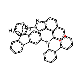 CC1(C)c2ccccc2-c2cc(N(c3ccccc3-c3ccccc3)c3cccc4ccc5nc(-c6ccccc6)oc5c34)ccc21